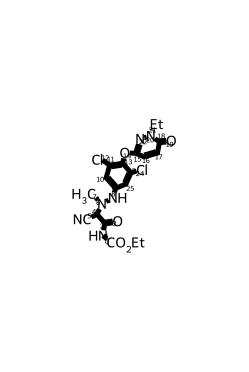 CCOC(=O)NC(=O)C(C#N)N(C)Nc1cc(Cl)c(Oc2ccc(=O)n(CC)n2)c(Cl)c1